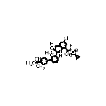 CC(C)(C)c1ccc(-c2cccc(C3Nc4c(cc(Cl)cc4C(=O)NS(=O)(=O)C4CC4)CC3(C)C)c2)cc1